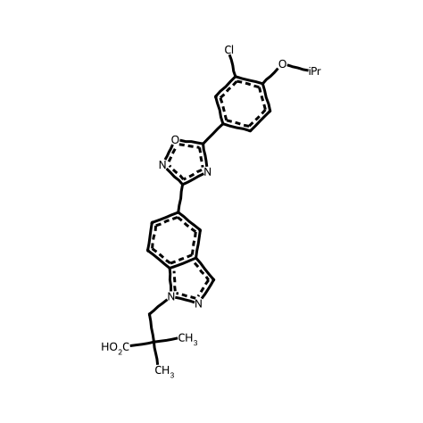 CC(C)Oc1ccc(-c2nc(-c3ccc4c(cnn4CC(C)(C)C(=O)O)c3)no2)cc1Cl